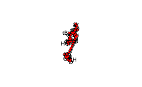 CC(C)(C)[C@H](NC(=O)c1cc2cc(C(F)(F)P(=O)(O)O)ccc2s1)C(=O)N1Cc2cc(OCC(=O)NCCCCCCCCCC#Cc3cccc4c3C(=O)N(C3CCC(=O)NC3=O)C4=O)ccc2C[C@H]1C(=O)N1CCO[C@H](c2ccccc2)C1